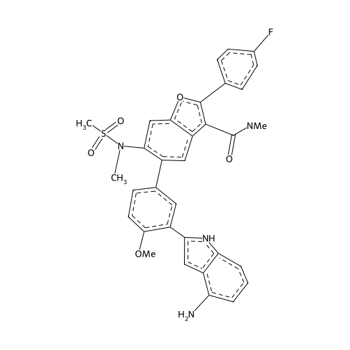 CNC(=O)c1c(-c2ccc(F)cc2)oc2cc(N(C)S(C)(=O)=O)c(-c3ccc(OC)c(-c4cc5c(N)cccc5[nH]4)c3)cc12